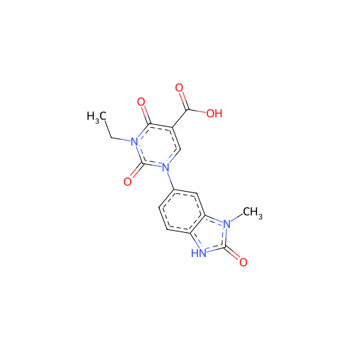 CCn1c(=O)c(C(=O)O)cn(-c2ccc3[nH]c(=O)n(C)c3c2)c1=O